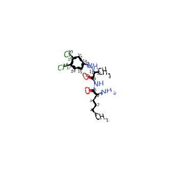 CCCCC(N)C(=O)NC(=O)C(C)Nc1ccc(Cl)c(Cl)c1